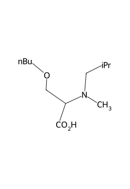 CCCCOCC(C(=O)O)N(C)CC(C)C